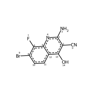 N#Cc1c(N)nc2c(F)c(Br)ccc2c1O